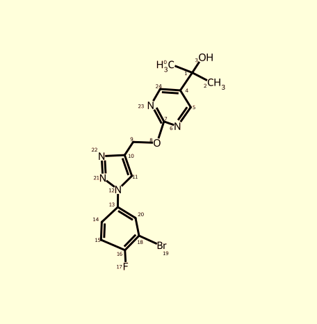 CC(C)(O)c1cnc(OCc2cn(-c3ccc(F)c(Br)c3)nn2)nc1